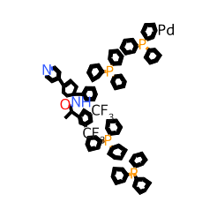 CC(C(=O)NC1(c2ccccc2)CC=C(c2ccncc2)CC1)c1cc(C(F)(F)F)cc(C(F)(F)F)c1.[Pd].c1ccc(P(c2ccccc2)c2ccccc2)cc1.c1ccc(P(c2ccccc2)c2ccccc2)cc1.c1ccc(P(c2ccccc2)c2ccccc2)cc1.c1ccc(P(c2ccccc2)c2ccccc2)cc1